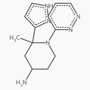 CC1(c2cc[nH]n2)CC(N)CCN1c1cccnn1